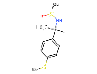 CCSc1ccc(C(C)(N[S@+]([O-])C(C)(C)C)C(=O)O)cc1